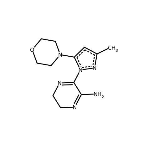 Cc1cc(N2CCOCC2)n(C2=NCCN=C2N)n1